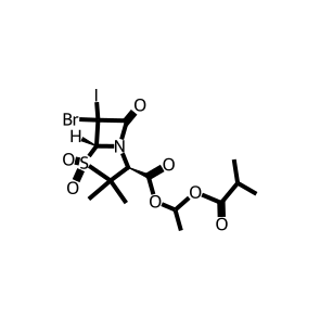 CC(OC(=O)C(C)C)OC(=O)[C@@H]1N2C(=O)C(Br)(I)[C@H]2S(=O)(=O)C1(C)C